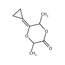 CC1OC(=C2CC2)C(C)OC1=O